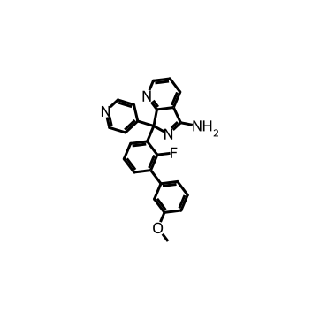 COc1cccc(-c2cccc(C3(c4ccncc4)N=C(N)c4cccnc43)c2F)c1